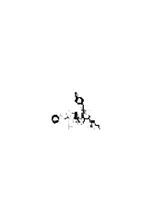 C=C(C1=C(C(=O)OCc2ccc(OC)cc2)N2C(=O)[C@@H](NC(=O)CSc3ccccc3)[C@H]2SC1)c1cc(CC)no1